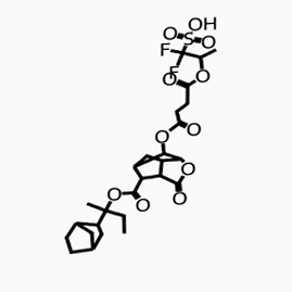 CCC(C)(OC(=O)C1C2CC3C(OC(=O)C31)C2OC(=O)CCC(=O)OC(C)C(F)(F)S(=O)(=O)O)C1CC2CCC1C2